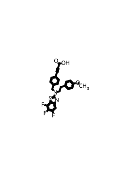 COc1ccc(CCN(Cc2ccc(C#CC(=O)O)cc2)c2nc3cc(F)c(F)c(F)c3s2)cc1